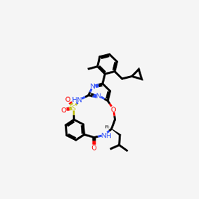 Cc1cccc(CC2CC2)c1-c1cc2nc(n1)NS(=O)(=O)c1cccc(c1)C(=O)N[C@H](CC(C)C)CO2